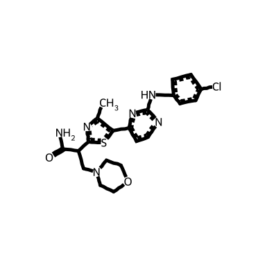 Cc1nc(C(CN2CCOCC2)C(N)=O)sc1-c1ccnc(Nc2ccc(Cl)cc2)n1